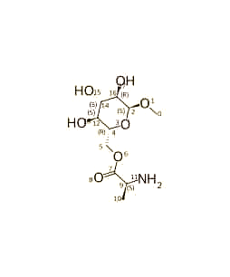 CO[C@H]1O[C@H](COC(=O)[C@H](C)N)[C@@H](O)[C@H](O)[C@H]1O